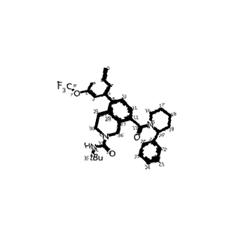 C=C/C=C(\C=C(/C)OC(F)(F)F)c1ccc(C(=O)N2CCCCC2c2ccccc2)c2c1CCN(C(=O)NC(C)(C)C)C2